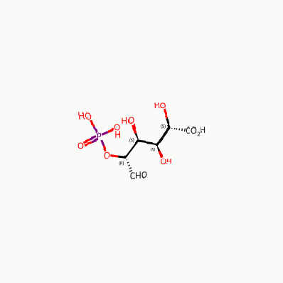 O=C[C@H](OP(=O)(O)O)[C@@H](O)[C@H](O)[C@H](O)C(=O)O